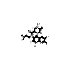 Cc1nc2c(cc1F)c1c(c(=O)n2I)N(CCN(C)C)C(=O)C2CN(I)C(C)CN12